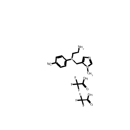 Cn1cncc1CN(CCN)c1ccc(C#N)cc1.O=C(O)C(F)(F)F.O=C(O)C(F)(F)F